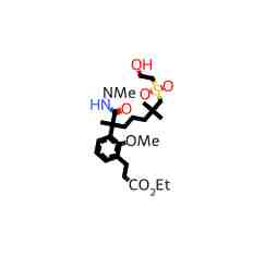 CCOC(=O)CCc1cccc(C(C)(CCCC(C)(C)CS(=O)(=O)CCO)C(=O)NNC)c1OC